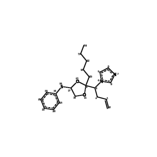 C=CCC(n1ccnc1)C1(CCCCC)OCC(Sc2ccccc2)O1